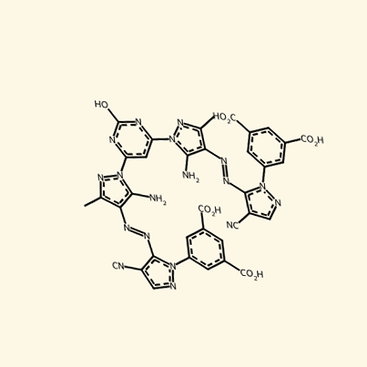 [C-]#[N+]c1cnn(-c2cc(C(=O)O)cc(C(=O)O)c2)c1N=Nc1c(C)nn(-c2cc(-n3nc(C)c(N=Nc4c(C#N)cnn4-c4cc(C(=O)O)cc(C(=O)O)c4)c3N)nc(O)n2)c1N